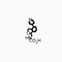 O=C(O)NCC1OCCc2c(-c3ccncc3)cccc21